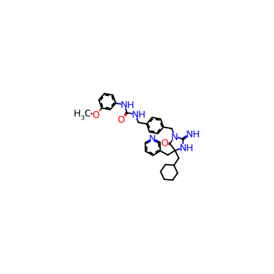 COc1cccc(NC(=O)NCc2ccc(CN3C(=N)NC(Cc4cccnc4)(CC4CCCCC4)C3=O)cc2)c1